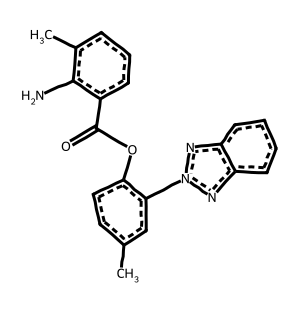 Cc1ccc(OC(=O)c2cccc(C)c2N)c(-n2nc3ccccc3n2)c1